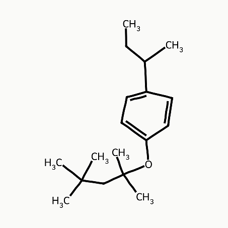 CCC(C)c1ccc(OC(C)(C)CC(C)(C)C)cc1